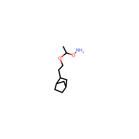 CC(ON)OCCC1CC2CCC1C2